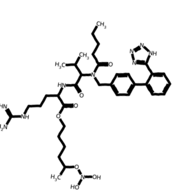 CCCCC(=O)N(Cc1ccc(-c2ccccc2-c2nnn[nH]2)cc1)C(C(=O)NC(CCCNC(=N)N)C(=O)OCCCCC(C)ON(O)O)C(C)C